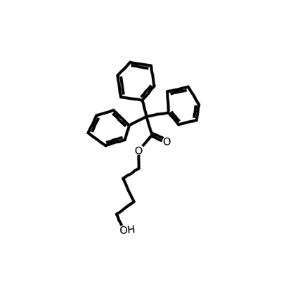 O=C(OCCCCO)C(c1ccccc1)(c1ccccc1)c1ccccc1